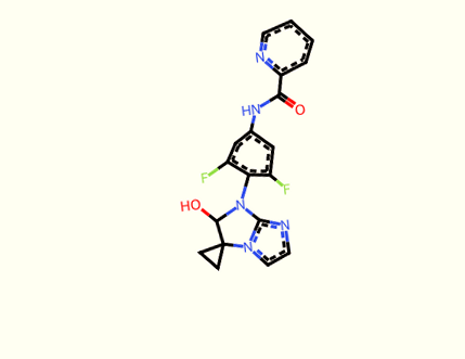 O=C(Nc1cc(F)c(N2c3nccn3C3(CC3)C2O)c(F)c1)c1ccccn1